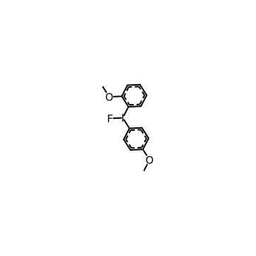 COc1ccc(I(F)c2ccccc2OC)cc1